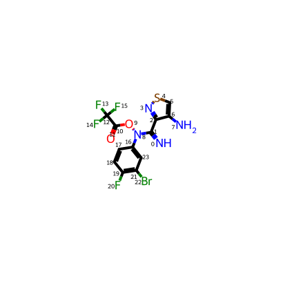 N=C(c1nscc1N)N(OC(=O)C(F)(F)F)c1ccc(F)c(Br)c1